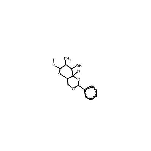 COC1OC2COC(c3ccccc3)O[C@H]2C(O)C1N